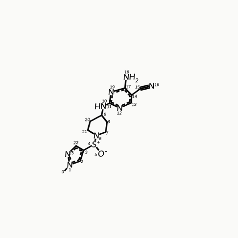 Cn1cc([S+]([O-])N2CCC(Nc3ncc(C#N)c(N)n3)CC2)cn1